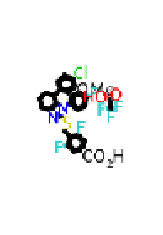 COc1cc(C2CCCc3nc(SCc4c(F)cc(C(=O)O)cc4F)n(-c4ccc(F)cc4)c32)ccc1Cl.O=C(O)C(F)(F)F